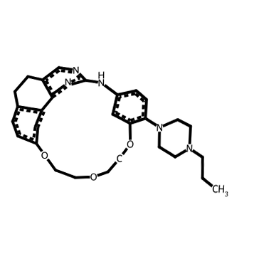 CCCN1CCN(c2ccc3cc2OCCOCCOc2ccc4c(c2)-c2nc(ncc2CC4)N3)CC1